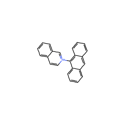 c1ccc2c[n+](-c3c4ccccc4cc4ccccc34)ccc2c1